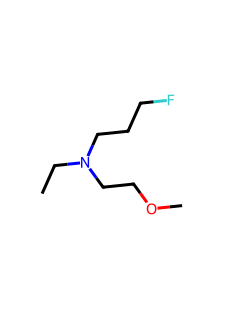 CCN(CCCF)CCOC